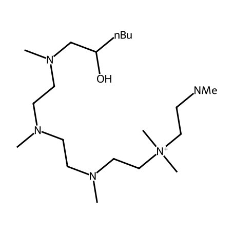 CCCCC(O)CN(C)CCN(C)CCN(C)CC[N+](C)(C)CCNC